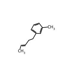 CC=CCCc1cccc(C)c1